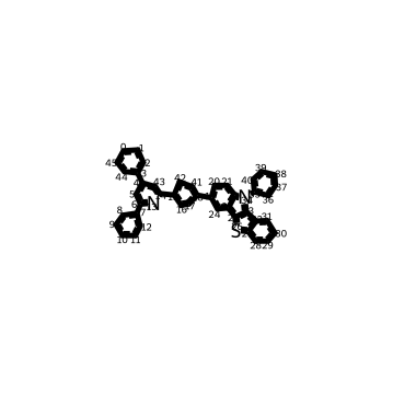 c1ccc(-c2cc(-c3ccccc3)nc(-c3ccc(-c4ccc5c(c4)c4sc6ccccc6c4n5-c4ccccc4)cc3)c2)cc1